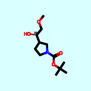 COC[C@@H](O)C1CCN(C(=O)OC(C)(C)C)C1